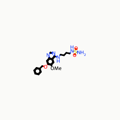 COc1cc2c(NCCCCNS(N)(=O)=O)ncnc2cc1OCc1ccccc1